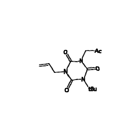 C=CCn1c(=O)n(CC(C)=O)c(=O)n(C(C)(C)C)c1=O